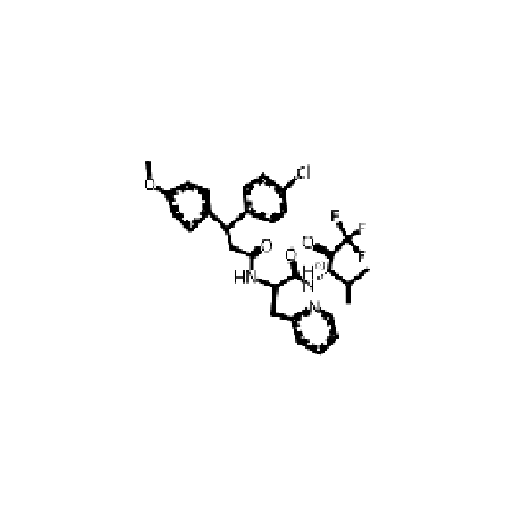 COc1ccc(C(CC(=O)NC(Cc2ccccn2)C(=O)N[C@H](C(=O)C(F)(F)F)C(C)C)c2ccc(Cl)cc2)cc1